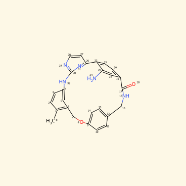 Cc1ccc2cc1COc1ccc(cc1)CNC(=O)c1ccc(c(N)c1)-c1ccnc(n1)N2